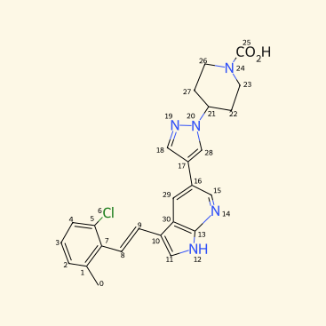 Cc1cccc(Cl)c1C=Cc1c[nH]c2ncc(-c3cnn(C4CCN(C(=O)O)CC4)c3)cc12